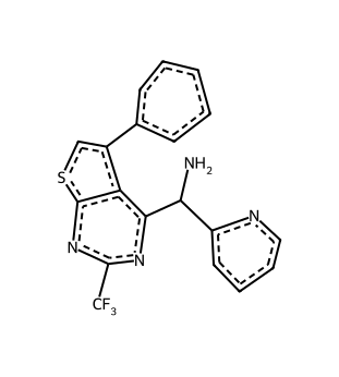 NC(c1ccccn1)c1nc(C(F)(F)F)nc2scc(-c3ccccc3)c12